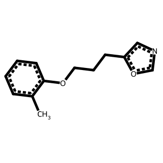 Cc1ccccc1OCCCc1cnco1